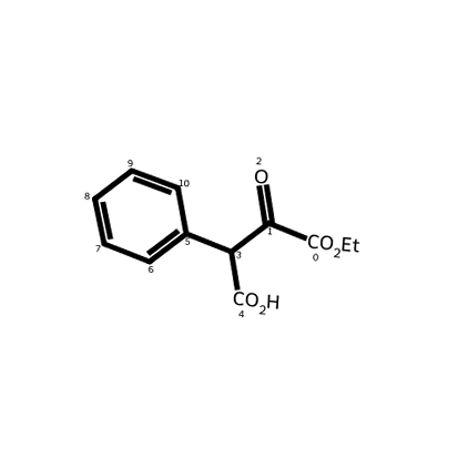 CCOC(=O)C(=O)C(C(=O)O)c1ccccc1